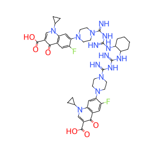 N=C(NC(=N)N1CCN(c2cc3c(cc2F)c(=O)c(C(=O)O)cn3C2CC2)CC1)NC1CCCCC1NC(=N)NC(=N)N1CCN(c2cc3c(cc2F)c(=O)c(C(=O)O)cn3C2CC2)CC1